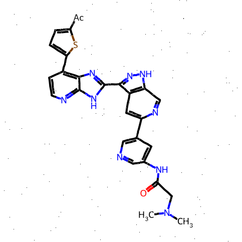 CC(=O)c1ccc(-c2ccnc3[nH]c(-c4n[nH]c5cnc(-c6cncc(NC(=O)CN(C)C)c6)cc45)nc23)s1